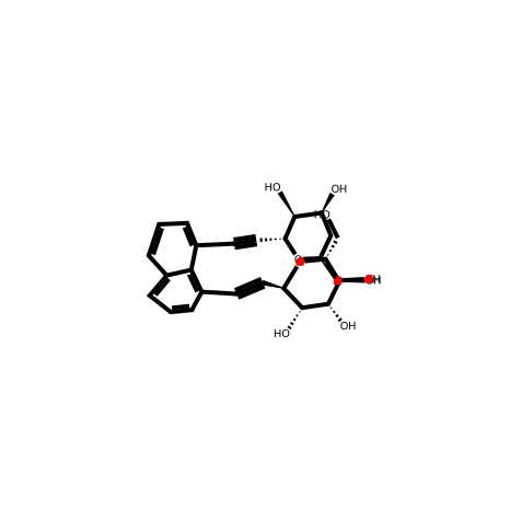 OC[C@@H]1C[C@H](O)[C@H](O)[C@@H](C#Cc2cccc3cccc(C#C[C@H]4O[C@H](CO)[C@@H](O)[C@H](O)[C@@H]4O)c23)O1